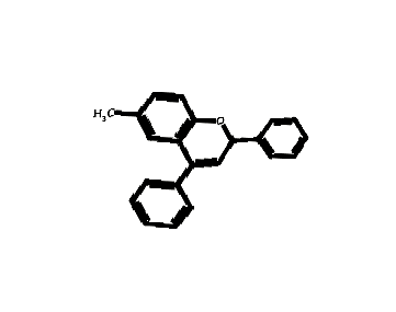 Cc1ccc2c(c1)C(c1ccccc1)=CC(c1ccccc1)O2